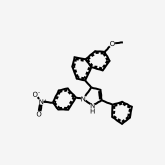 COc1ccc2c(C3C=C(c4ccccc4)NN3c3ccc([N+](=O)[O-])cc3)cccc2c1